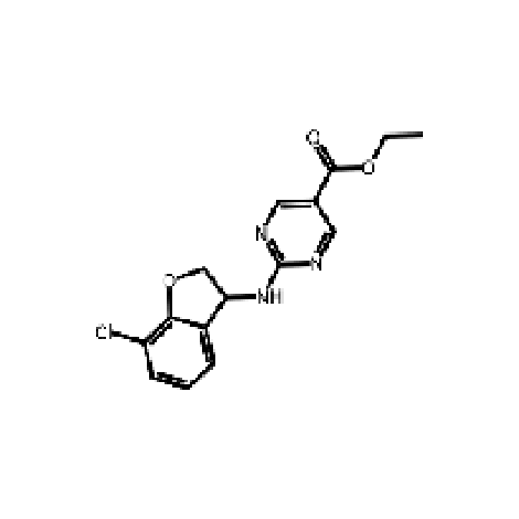 CCOC(=O)c1cnc(NC2COc3c(Cl)cccc32)nc1